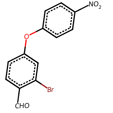 O=Cc1ccc(Oc2ccc([N+](=O)[O-])cc2)cc1Br